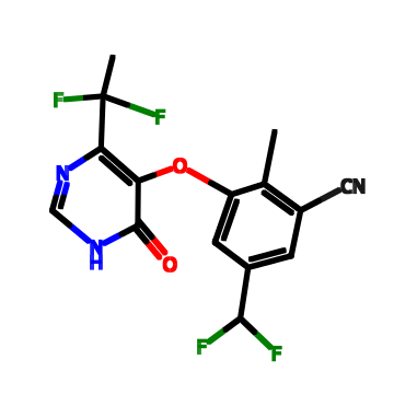 Cc1c(C#N)cc(C(F)F)cc1Oc1c(C(C)(F)F)nc[nH]c1=O